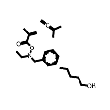 C=C(C)C(=O)ON(CC)Cc1ccccc1.C=C=C(C)C.CCCCCO